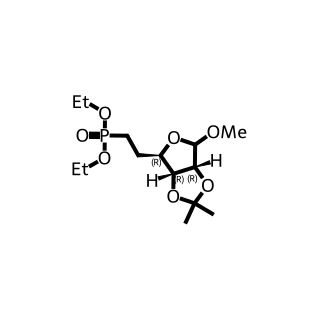 CCOP(=O)(CC[C@H]1OC(OC)[C@@H]2OC(C)(C)O[C@H]12)OCC